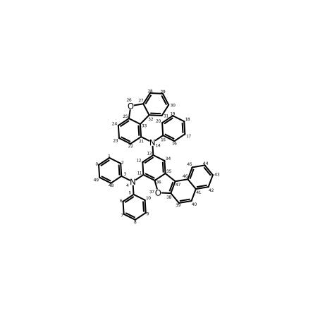 c1ccc(N(c2ccccc2)c2cc(N(c3ccccc3)c3cccc4oc5ccccc5c34)cc3c2oc2ccc4ccccc4c23)cc1